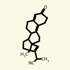 CC(C#N)C1=CC23CCC4=C5CCC(=O)C=C5CCC4C2CCC13C